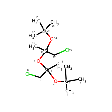 C[Si](C)(C)O[Si](C)(CCl)O[Si](C)(CCl)O[Si](C)(C)C